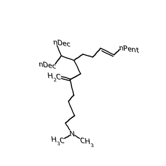 C=C(CCCCN(C)C)CC(CC/C=C/CCCCC)C(CCCCCCCCCC)CCCCCCCCCC